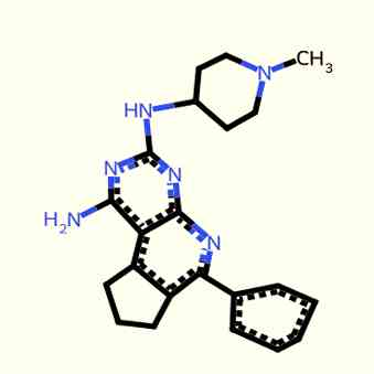 CN1CCC(Nc2nc(N)c3c4c(c(-c5ccccc5)nc3n2)CCC4)CC1